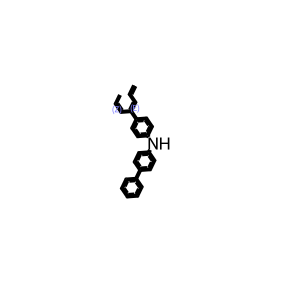 C=C/C=C(\C=C/C)c1ccc(Nc2ccc(-c3ccccc3)cc2)cc1